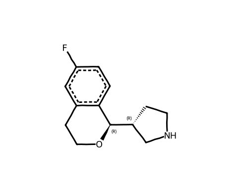 Fc1ccc2c(c1)CCO[C@@H]2[C@@H]1CCNC1